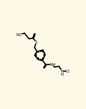 C=C(CCC#N)SCc1ccc(C(=C)NCCNCl)cc1